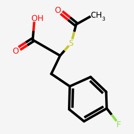 CC(=O)SC(Cc1ccc(F)cc1)C(=O)O